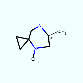 C[C@@H]1CN(C)C2(CC2)CN1